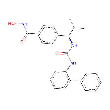 CC(C)[C@@H](NC(=O)Nc1ccccc1-c1ccccc1)c1ccc(C(=O)NO)cc1